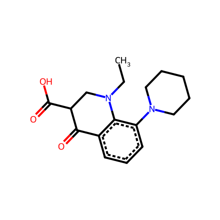 CCN1CC(C(=O)O)C(=O)c2cccc(N3CCCCC3)c21